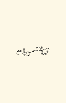 CC(=O)N1CCC[C@H]1c1nc2ccc(C#Cc3ccc4nc([C@@H]5CCCN5)[nH]c4c3)cc2[nH]1